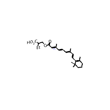 CCC(COC(=O)/C=C(\C)C=CC=C(C)C=CC1=C(C)CCCC1(C)C)C(=O)O